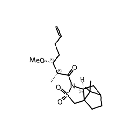 C=CCC[C@@H](OC)[C@@H](C)C(=O)N1[C@H]2CC3CCC2(CS1(=O)=O)C3(C)C